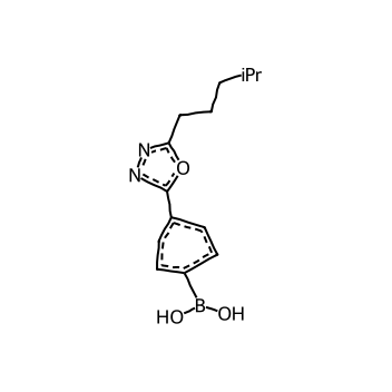 CC(C)CCCc1nnc(-c2ccc(B(O)O)cc2)o1